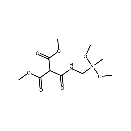 COC(=O)C(C(=O)NC[Si](C)(OC)OC)C(=O)OC